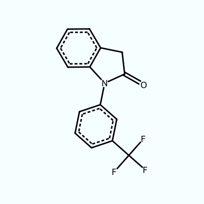 O=C1Cc2ccccc2N1c1cccc(C(F)(F)F)c1